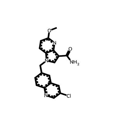 COc1ccc2c(n1)c(C(N)=O)cn2Cc1ccc2ncc(Cl)cc2c1